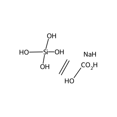 C=C.O=C(O)O.O[Si](O)(O)O.[NaH]